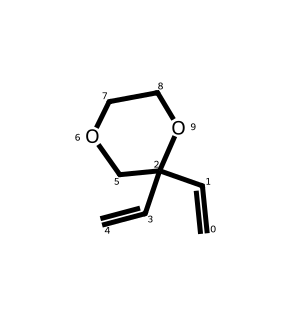 C=CC1(C=C)COCCO1